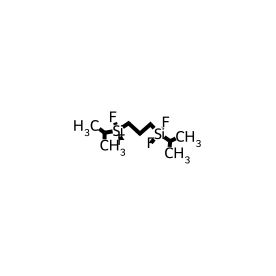 CC(C)[Si](F)(F)CCC[Si](F)(F)C(C)C